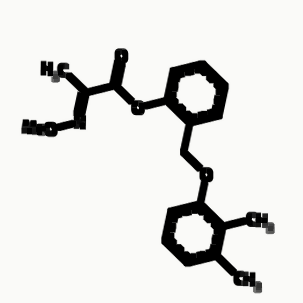 CON=C(C)C(=O)Oc1ccccc1COc1cccc(C)c1C